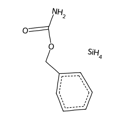 NC(=O)OCc1ccccc1.[SiH4]